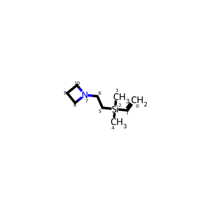 C=C[Si](C)(C)CCN1CCC1